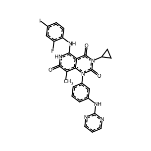 Cc1c(=O)[nH]c(Nc2ccc(I)cc2F)c2c(=O)n(C3CC3)c(=O)n(-c3cccc(Nc4ncccn4)c3)c12